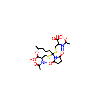 CCCCCC(SCC(NC(C)=O)C(=O)O)(SCC(NC(C)=O)C(=O)O)N1C(=O)CCC1=O